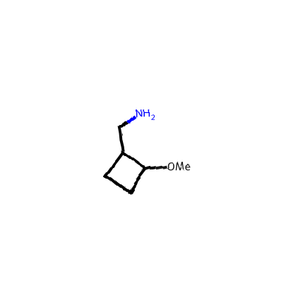 COC1CCC1CN